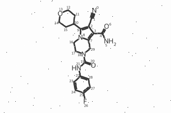 N#Cc1c(C(N)=O)c2n(c1C1CCOCC1)CCN(C(=O)Nc1ccc(F)cc1)C2